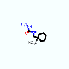 NNC(=O)NCC1(C(=O)O)CCCCC1